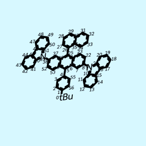 CC(C)(C)c1ccc(-c2c3cc(-n4c5ccccc5c5ccccc54)ccc3c(-c3cccc4ccccc34)c3cc(-n4c5ccccc5c5ccccc54)ccc23)cc1